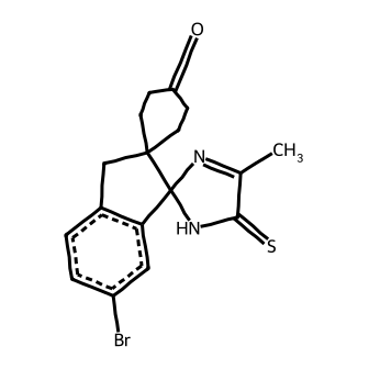 CC1=NC2(NC1=S)c1cc(Br)ccc1CC21CCC(=O)CC1